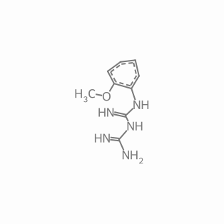 COc1ccccc1NC(=N)NC(=N)N